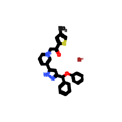 O=C(C[n+]1cccc(-c2cc(C(Oc3ccccc3)c3ccccc3)n[nH]2)c1)c1cc([N+](=O)[O-])cs1.[Br-]